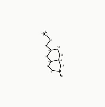 CC1CCC2CC(CCO)CCC2C1